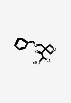 CCCCC(CC)C(=O)C1(COCc2ccccc2)COC1